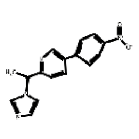 CC(c1ccc(-c2ccc([N+](=O)[O-])cc2)cn1)n1ccnc1